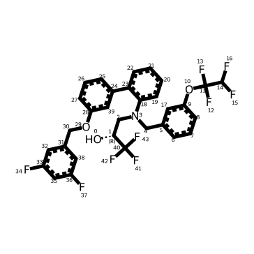 O[C@H](CN(Cc1cccc(OC(F)(F)C(F)F)c1)c1ccccc1-c1cccc(OCc2cc(F)cc(F)c2)c1)C(F)(F)F